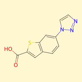 O=C(O)c1cc2ccc(-n3ccnn3)cc2s1